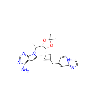 C[C@H]([C@@H]1OC(C)(C)O[C@@H]1[C@]1(C)C=C(Cc2ccn3ccnc3c2)C1)n1ccc2c(N)ncnc21